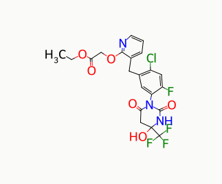 CCOC(=O)COc1ncccc1Cc1cc(N2C(=O)CC(O)(C(F)(F)F)NC2=O)c(F)cc1Cl